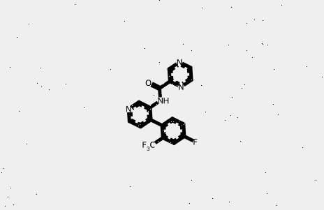 O=C(Nc1cnccc1-c1ccc(F)cc1C(F)(F)F)c1cnccn1